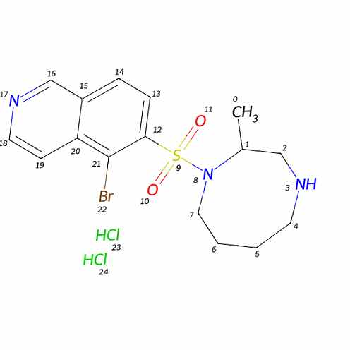 CC1CNCCCCN1S(=O)(=O)c1ccc2cnccc2c1Br.Cl.Cl